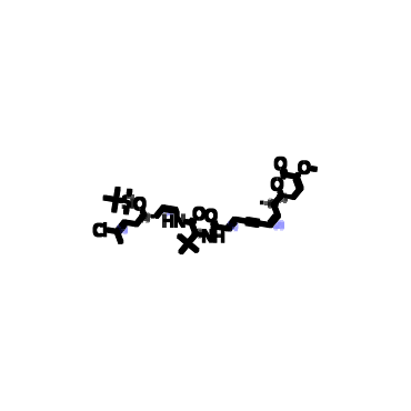 COC1=CC[C@@H]([C@@H](C)/C=C\C#C/C=C/C(=O)N[C@H](C(=O)N/C=C\C[C@H](C/C=C(\C)Cl)O[Si](C)(C)C(C)(C)C)C(C)(C)C)OC1=O